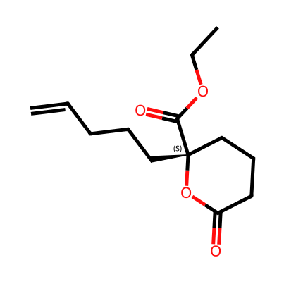 C=CCCC[C@@]1(C(=O)OCC)CCCC(=O)O1